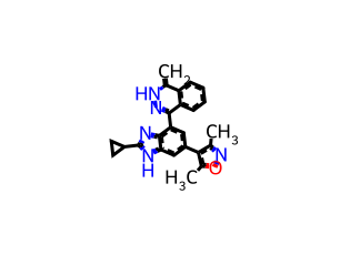 C=C1NN=C(c2cc(-c3c(C)noc3C)cc3[nH]c(C4CC4)nc23)c2ccccc21